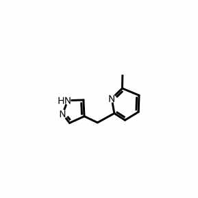 Cc1cccc(Cc2cn[nH]c2)n1